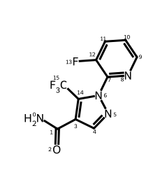 NC(=O)c1cnn(-c2ncccc2F)c1C(F)(F)F